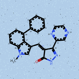 Cn1cc(/C=C2\C(=O)NN=C2c2cnccn2)c2c(-c3ccccc3)cccc21